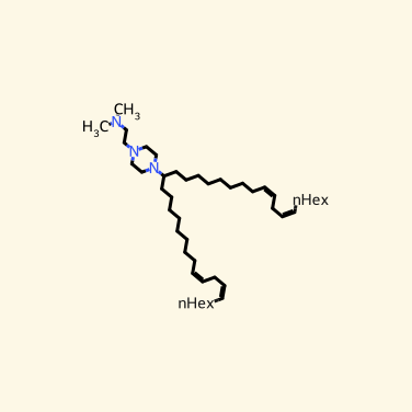 CCCCCC/C=C\C/C=C\CCCCCCCCC(CCCCCCCC/C=C\C/C=C\CCCCCC)N1CCN(CCN(C)C)CC1